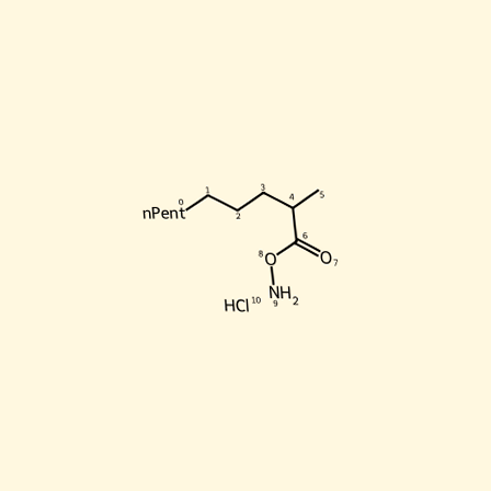 CCCCCCCCC(C)C(=O)ON.Cl